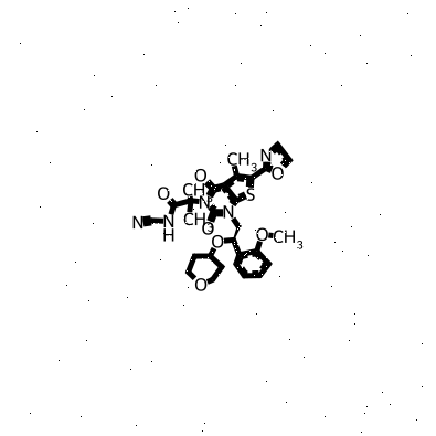 COc1ccccc1[C@H](Cn1c(=O)n(C(C)(C)C(=O)NC#N)c(=O)c2c(C)c(-c3ncco3)sc21)OC1CCOCC1